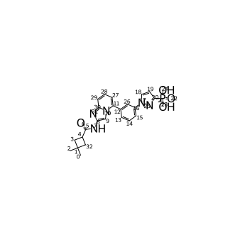 CC1(C)CC(C(=O)Nc2cn3c(-c4cccc(-n5ccc(P(=O)(O)O)n5)c4)cccc3n2)C1